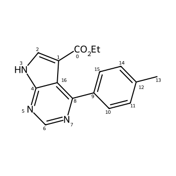 CCOC(=O)c1c[nH]c2ncnc(-c3ccc(C)cc3)c12